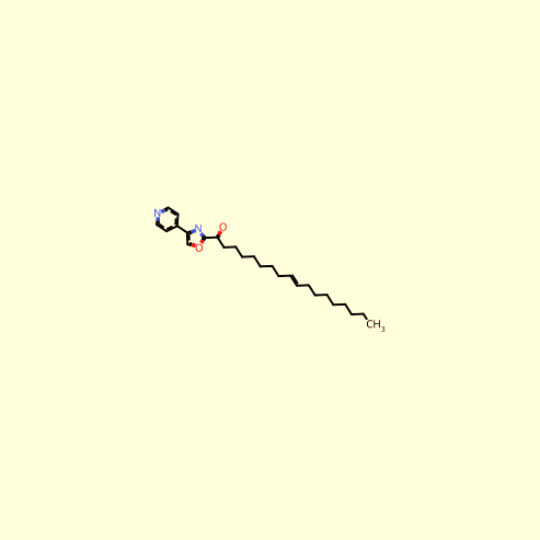 CCCCCCCC/C=C/CCCCCCCC(=O)c1nc(-c2ccncc2)co1